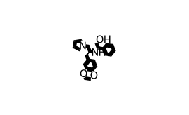 OCC(N[C@@H](Cc1ccc2c(c1)OCCO2)CN1CCCC1)c1ccccc1